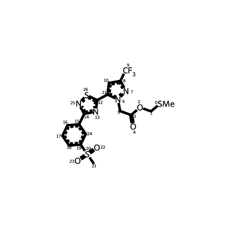 CSCOC(=O)Cn1nc(C(F)(F)F)cc1-c1nc(-c2cccc(S(C)(=O)=O)c2)ns1